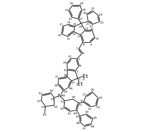 CCC1(CC)c2cc(/C=C/c3cccc4c3-c3ccccc3C4(c3ccccc3)c3ccccc3)ccc2-c2ccc(N(C3C=CC(c4ccccc4)=C(c4ccccc4)C3)C3C=CCC(C)C3)cc21